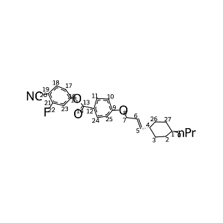 CCC[C@H]1CC[C@H](C=CCOc2ccc(C(=O)Oc3ccc(C#N)c(F)c3)cc2)CC1